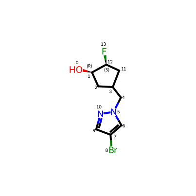 O[C@@H]1CC(Cn2cc(Br)cn2)C[C@@H]1F